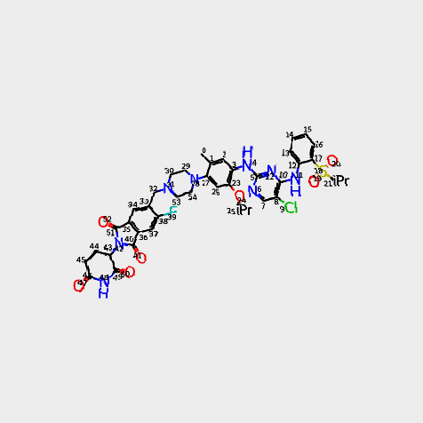 Cc1cc(Nc2ncc(Cl)c(Nc3ccccc3S(=O)(=O)C(C)C)n2)c(OC(C)C)cc1N1CCN(Cc2cc3c(cc2F)C(=O)N(C2CCC(=O)NC2=O)C3=O)CC1